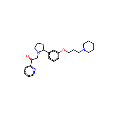 O=C(CN1CCCC1c1cccc(OCCCN2CCCCC2)c1)c1ccccn1